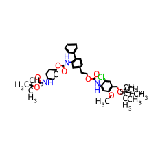 COc1cc(NC(=O)OCCc2ccc(-c3ccccc3)c(NC(=O)OC3CCC(NC(=O)OC(C)(C)C)CC3)c2)c(Cl)cc1CO[Si](C)(C)C(C)(C)C